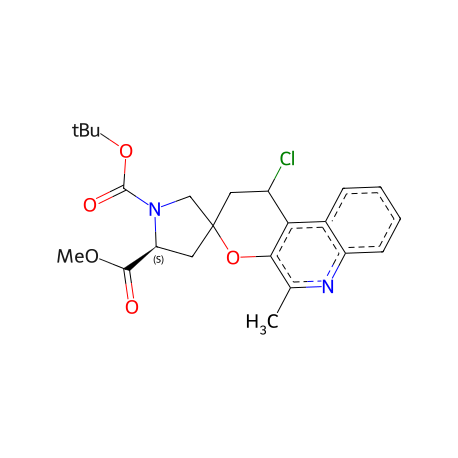 COC(=O)[C@@H]1CC2(CC(Cl)c3c(c(C)nc4ccccc34)O2)CN1C(=O)OC(C)(C)C